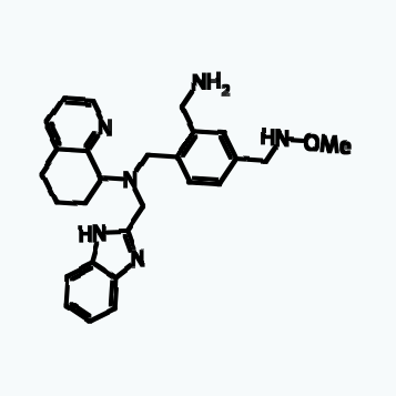 CONCc1ccc(CN(Cc2nc3ccccc3[nH]2)C2CCCc3cccnc32)c(CN)c1